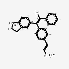 CCOC(=O)/C=C/c1ccc(/C(=C(/CC)c2ccccc2)c2ccc3c(c2)CNN3)cc1